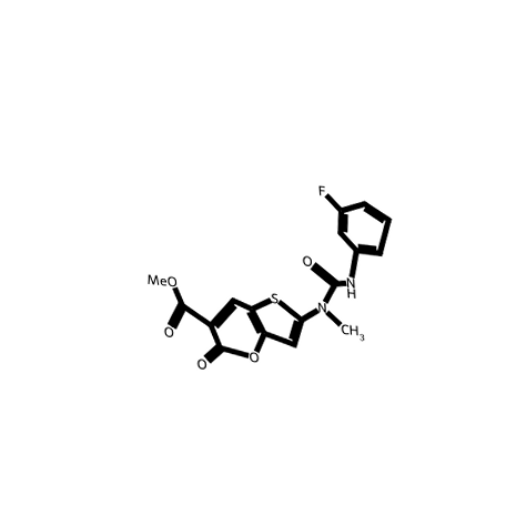 COC(=O)c1cc2sc(N(C)C(=O)Nc3cccc(F)c3)cc2oc1=O